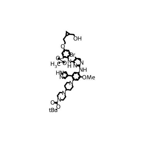 COc1cc(N2CCC(N3CCN(C(=O)OC(C)(C)C)CC3)CC2)c(-c2cn[nH]c2)cc1Nc1ncc(Br)c(Nc2ccc(OCCC3CC3CO)cc2S(C)(=O)=O)n1